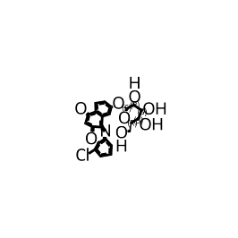 O=c1cc2oc3c(Cl)cccc3nc-2c2cc(O[C@@H]3O[C@H](CO)[C@@H](O)[C@H](O)[C@H]3O)ccc12